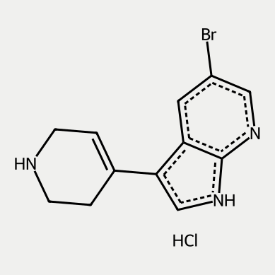 Brc1cnc2[nH]cc(C3=CCNCC3)c2c1.Cl